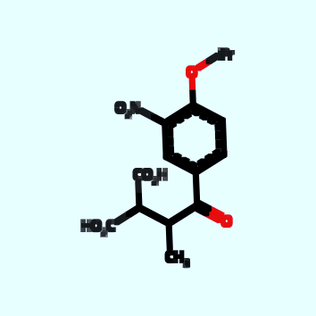 CC(C)Oc1ccc(C(=O)C(C)C(C(=O)O)C(=O)O)cc1[N+](=O)[O-]